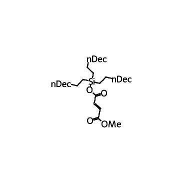 CCCCCCCCCCCC[Si](CCCCCCCCCCCC)(CCCCCCCCCCCC)OC(=O)C=CC(=O)OC